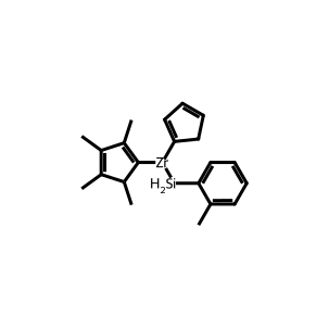 CC1=C(C)C(C)[C]([Zr]([SiH2]c2ccccc2C)[C]2=CC=CC2)=C1C